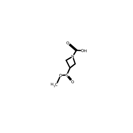 COS(=O)C1CN(C(=O)O)C1